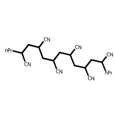 CCCC(C#N)CC(C#N)CC(C#N)CC(C#N)CC(C#N)CC(C#N)CCC